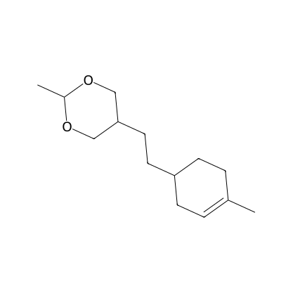 CC1=CCC(CCC2COC(C)OC2)CC1